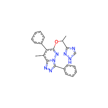 Cc1c(-c2ccccc2)c(OC(C)c2nc[nH]n2)nn2c(-c3ccccc3)nnc12